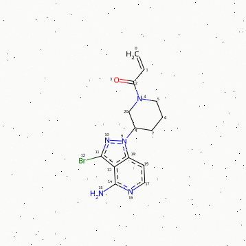 C=CC(=O)N1CCCC(n2nc(Br)c3c(N)nccc32)C1